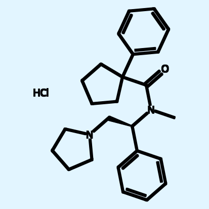 CN(C(=O)C1(c2ccccc2)CCCC1)[C@H](CN1CCCC1)c1ccccc1.Cl